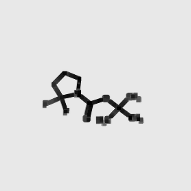 CC(C)(C)OC(=O)N1CCCC1(F)F